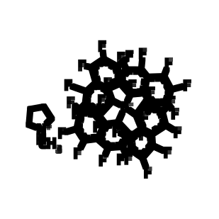 C[NH+]1CCCC1.Fc1c(F)c(F)c2c([B-](c3c(F)c(F)c(F)c4c(F)c(F)c(F)c(F)c34)(c3c(F)c(F)c(F)c4c(F)c(F)c(F)c(F)c34)c3c(F)c(F)c(F)c4c(F)c(F)c(F)c(F)c34)c(F)c(F)c(F)c2c1F